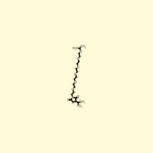 CC(C)OCCOCCOCCOCCOCCOCCN1C(=O)CC(C(C)C)C1=O